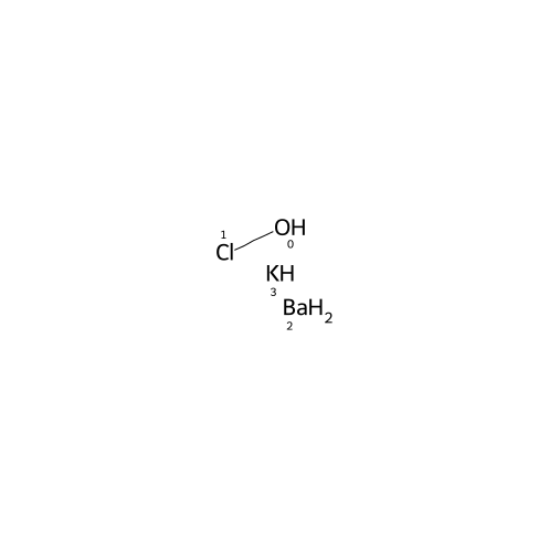 OCl.[BaH2].[KH]